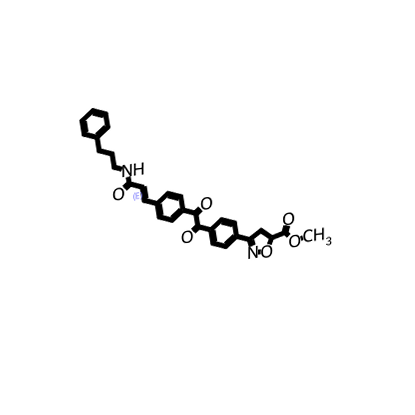 COC(=O)C1CC(c2ccc(C(=O)C(=O)c3ccc(/C=C/C(=O)NCCCc4ccccc4)cc3)cc2)=NO1